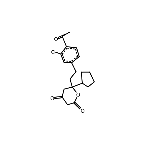 CC(=O)c1ccc(CCC2(C3CCCC3)CC(=O)CC(=O)O2)cc1Cl